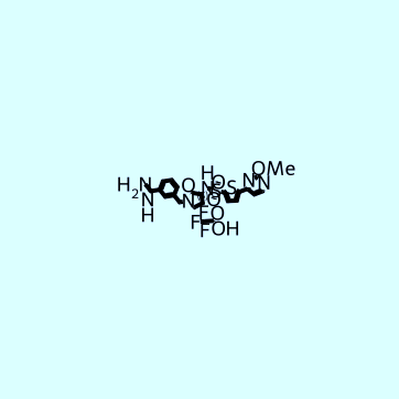 COc1nccc(-c2ccc(S(=O)(=O)N[C@H]3CCN(Cc4cccc(C(=N)N)c4)C3=O)s2)n1.O=C(O)C(F)(F)F